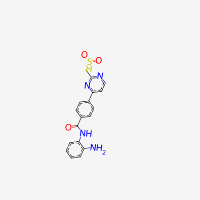 Nc1ccccc1NC(=O)c1ccc(-c2ccnc(C[SH](=O)=O)n2)cc1